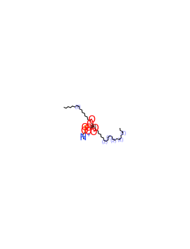 CC/C=C\C/C=C\C/C=C\C/C=C\C/C=C\CCCCCC(=O)O[C@H](COC(=O)CCCCCCC/C=C\CCCCCC)COP(=O)([O-])OCC[N+](C)(C)C